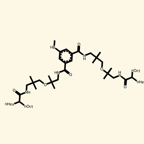 CBc1cc(C(=O)NCC(C)(C)COC(C)(C)CNC(=O)C(CCCCCC)CCCCCCCC)cc(C(=O)NCC(C)(C)OCC(C)(C)CNC(=O)C(CCCCCC)CCCCCCCC)c1